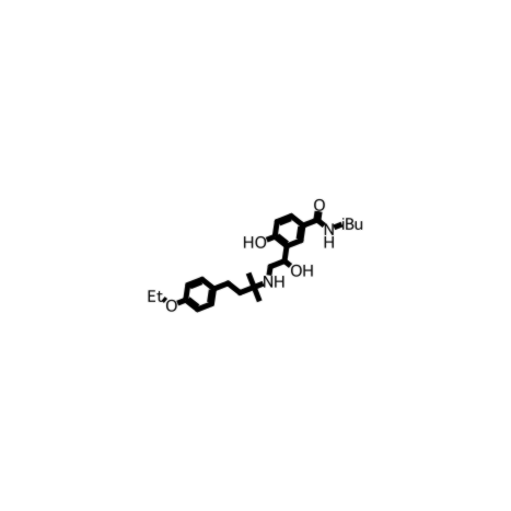 CCOc1ccc(CCC(C)(C)NCC(O)c2cc(C(=O)NC(C)CC)ccc2O)cc1